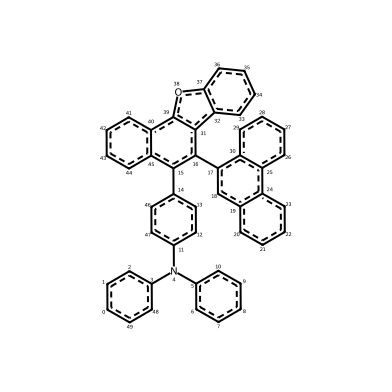 c1ccc(N(c2ccccc2)c2ccc(-c3c(-c4cc5ccccc5c5ccccc45)c4c5ccccc5oc4c4ccccc34)cc2)cc1